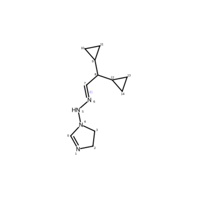 C1=NCCN1N/N=C/C(C1CC1)C1CC1